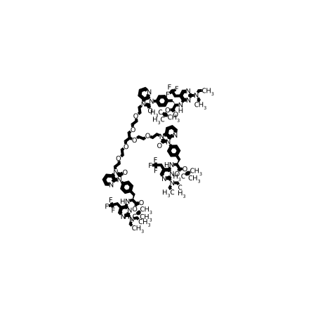 CCN(CC)c1ncc(CC(F)(F)F)c(N[C@@H](Cc2ccc(-n3c(=O)n(CCOCCOCC(COCCOCCn4c(=O)n(-c5ccc(C[C@H](Nc6nc(N(CC)CC)ncc6CC(F)(F)F)C(=O)OC(C)(C)C)cc5)c5ncccc54)OCCOCCn4c(=O)n(-c5ccc(C[C@H](Nc6nc(N(CC)CC)ncc6CC(F)(F)F)C(=O)OC(C)(C)C)cc5)c5ncccc54)c4cccnc43)cc2)C(=O)OC(C)(C)C)n1